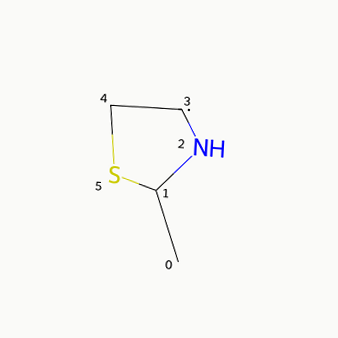 CC1N[CH]CS1